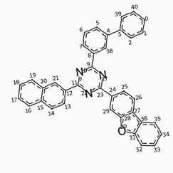 c1ccc(-c2cccc(-c3nc(-c4ccc5ccccc5c4)nc(-c4ccc5c(c4)oc4ccccc45)n3)c2)cc1